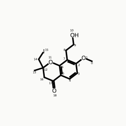 COc1ccc2c(c1CCO)OC(C)(CI)CC2=O